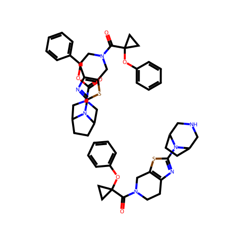 O=C(N1CCc2nc(N3C4CCC3CNC4)sc2C1)C1(Oc2ccccc2)CC1.O=C(OCc1ccccc1)N1CC2CCC(C1)N2c1nc2c(s1)CN(C(=O)C1(Oc3ccccc3)CC1)CC2